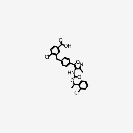 Cc1noc(-c2ccc(Cc3cc(C(=O)O)ccc3Cl)cc2)c1NC(=O)OC(C)c1ccccc1Cl